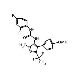 COc1ccc(-c2c(C(C)(F)F)nn(C)c2NC(=O)Nc2ccc(F)cc2F)cc1